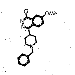 COc1ccc2c(C3CCN(Cc4ccccc4)CC3)nnc(Cl)c2c1